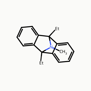 CCC12c3ccccc3C(CC)(c3ccccc31)N2C